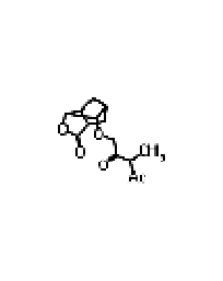 CC(=O)C(C)C(=O)COC1C2CC3C(=O)OC1C3C2